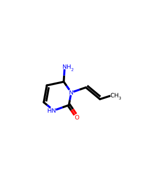 CC=CN1C(=O)NC=CC1N